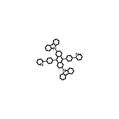 c1ccc(-c2ccc(-c3c4ccc(-n5c6ccccc6c6ccccc65)cc4c(-c4ccc(-c5ccccn5)cc4)c4ccc(-n5c6ccccc6c6ccccc65)cc34)cc2)nc1